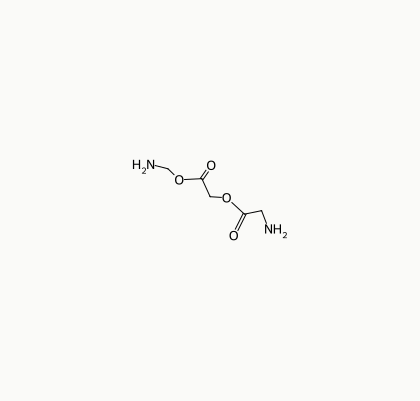 NCOC(=O)COC(=O)CN